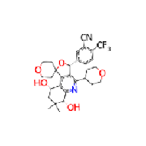 CC1(C)C[C@H](O)c2c(nc(C3CCOCC3)c3c2C2(CCOCC2)O[C@@H]3c2ccc(C(F)(F)F)c(C#N)c2)[C@@H]1O